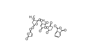 C=C1CC(=O)OC1=O.CC1=CC(=O)OC1=O.O=C1C=CC(=O)O1.O=C1CCC(=O)O1.O=C1OC(=O)c2ccccc21